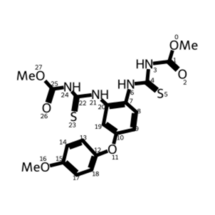 COC(=O)NC(=S)Nc1ccc(Oc2ccc(OC)cc2)cc1NC(=S)NC(=O)OC